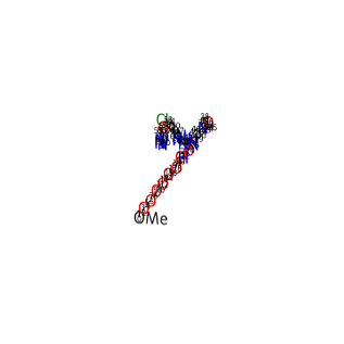 COCCOCCOCCOCCOCCOCCOCCOCCOc1nn(C2CCC(N3C[C@@H](C)O[C@@H](C)C3)CC2)cc1Nc1ncc(-c2ccc(Cl)c(O[C@@H](C)Cn3cnnn3)c2)cn1